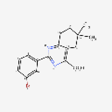 CCOC(=O)c1nc(-c2cccc(Br)c2)nc2c1CC(C)(C)CC2